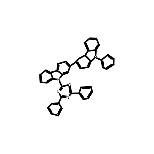 C1=C(c2ccc3c4ccccc4n(-c4nc(-c5ccccc5)nc(-c5ccccc5)n4)c3c2)CC2C(=C1)N(c1ccccc1)c1ccccc12